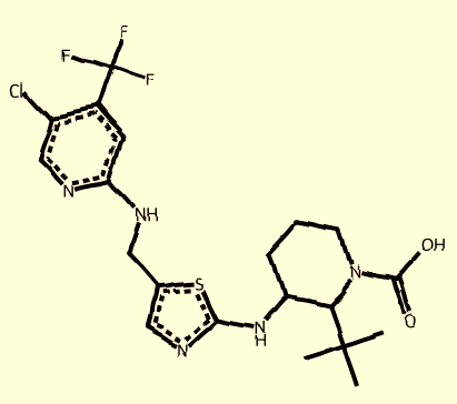 CC(C)(C)C1C(Nc2ncc(CNc3cc(C(F)(F)F)c(Cl)cn3)s2)CCCN1C(=O)O